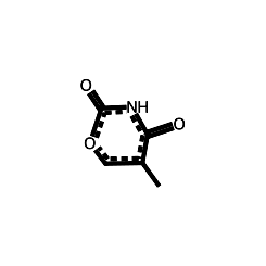 Cc1coc(=O)[nH]c1=O